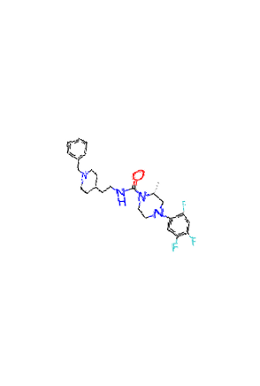 C[C@@H]1CN(c2cc(F)c(F)cc2F)CCN1C(=O)NCCC1CCN(Cc2ccccc2)CC1